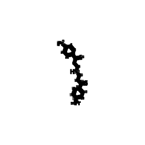 CC(C)c1ccc(C(=S)CCNCCC(=S)c2ccc(C(C)C)cc2)cc1